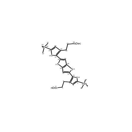 CCCCCCCCCCCCc1c[c]([Sn]([CH3])([CH3])[CH3])sc1-c1cc2sc(-c3s[c]([Sn]([CH3])([CH3])[CH3])cc3CCCCCCCCCCCC)cc2s1